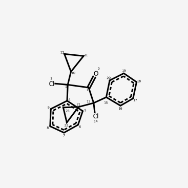 O=C(C(Cl)(c1ccccc1)C1CC1)C(Cl)(c1ccccc1)C1CC1